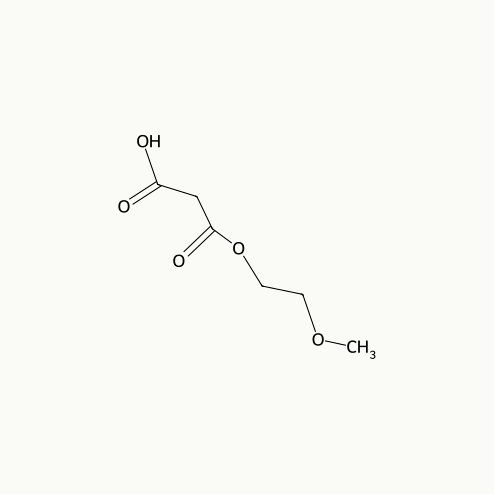 COCCOC(=O)CC(=O)O